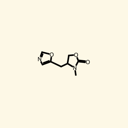 CN1C(=O)OCC1Cc1cnco1